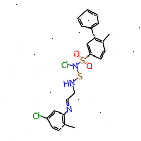 Cc1ccc(Cl)cc1N=CCNSN(Cl)S(=O)(=O)c1ccc(C)c(-c2ccccc2)c1